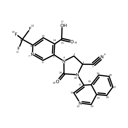 N#CC1CN(c2cnc(C(F)(F)F)cc2C(=O)O)C(=O)N1c1cncc2ccccc12